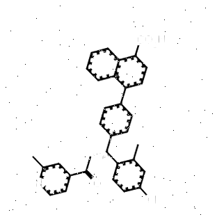 Cc1cc(C(=O)C[C@H](c2ccc(-c3ccc(C(=O)O)c4ccccc34)cc2)c2ccc(Cl)cc2C)ccn1